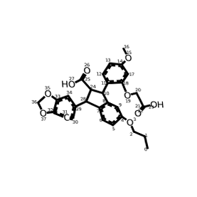 CCCOc1ccc2c(c1)C(c1ccc(OC)cc1OCC(=O)O)C(C(=O)O)C2c1ccc2c(c1)OCO2